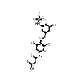 Cc1cc(COc2c(Cl)cc(NC(=O)CC(=O)O)cc2Cl)cc(NS(C)(=O)=O)c1